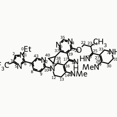 CCn1cc(C(F)(F)F)nc1-c1ccc(N2CCC(NC)=C(C(=N)c3c(OCC(C)C(=N)C4=C(NC)CCNC4)ncnc3C3CC3)C2)nc1